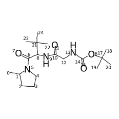 CC1CCCN1C(=O)C(NC(=O)CNC(=O)OC(C)(C)C)C(C)(C)C